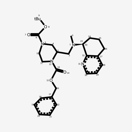 CN(CC1CN(C(=O)OC(C)(C)C)CCN1C(=O)OCc1ccccc1)[C@H]1CCCc2cccnc21